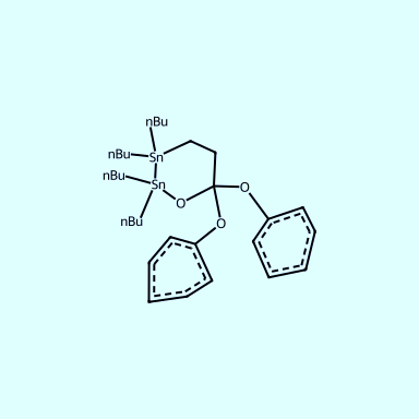 CCC[CH2][Sn]1([CH2]CCC)[CH2]CC(Oc2ccccc2)(Oc2ccccc2)[O][Sn]1([CH2]CCC)[CH2]CCC